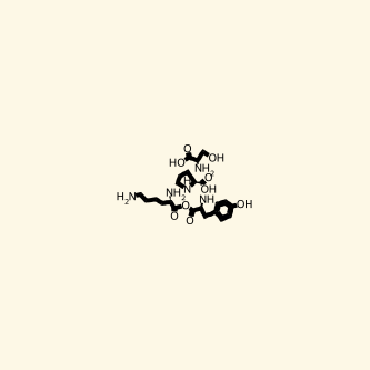 NCCCC[C@H](N)C(=O)OC(=O)[C@@H](N)Cc1ccc(O)cc1.N[C@@H](CO)C(=O)O.O=C(O)[C@@H]1CCCN1